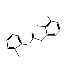 Cc1ccccc1OC(=O)Cc1cccc(O)c1C